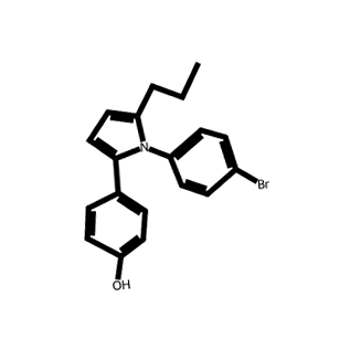 CCCc1ccc(-c2ccc(O)cc2)n1-c1ccc(Br)cc1